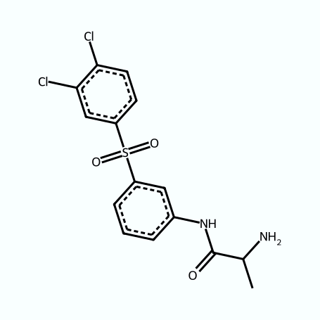 CC(N)C(=O)Nc1cccc(S(=O)(=O)c2ccc(Cl)c(Cl)c2)c1